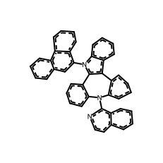 c1ccc2c(c1)-c1c(n(-c3cc4ccccc4c4ccccc34)c3ccccc13)-c1ccccc1N2c1nccc2ccccc12